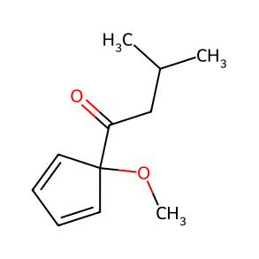 COC1(C(=O)CC(C)C)C=CC=C1